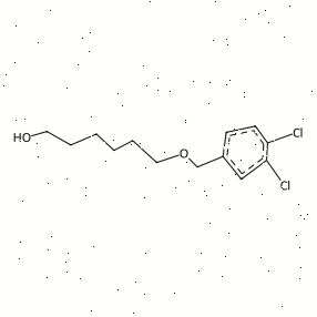 OCCCCCCOCc1ccc(Cl)c(Cl)c1